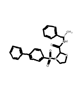 C[C@H](NC(=O)C1SCCN1S(=O)(=O)c1ccc(-c2ccccc2)cc1)c1ccccc1